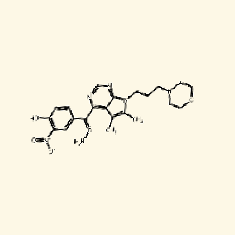 Cc1c(C)n(CCCN2CCOCC2)c2ncnc(C(=NN)c3ccc(O)c([N+](=O)[O-])c3)c12